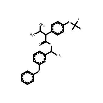 CC(SC(=O)C(c1ccc(OC(F)(F)F)cc1)C(C)C)c1cccc(Oc2ccccc2)n1